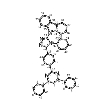 c1ccc(-c2cc(-c3ccccc3)nc(-c3ccc(-c4nnc(-n5c6ccccc6c6ccccc65)n4-c4ccccc4)cc3)n2)cc1